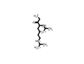 CCC(=O)C(CCCCNC(C)C)NC(C)C